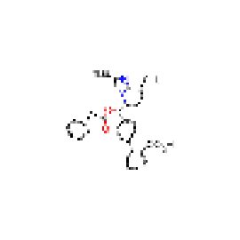 CCCCc1cn2c(C(OC(=O)Cc3ccccc3)c3ccc(-c4ccccc4C(=O)O)cc3)ccc(C)c2n1